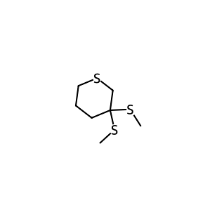 CSC1(SC)CCCSC1